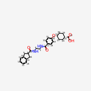 O=C(NCCNC(=O)C1Cc2ccccc2C1)c1ccc(O[C@H]2CC[C@@H](C(=O)O)CC2)cc1